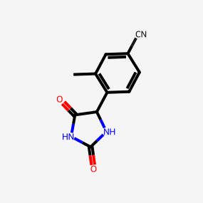 Cc1cc(C#N)ccc1C1NC(=O)NC1=O